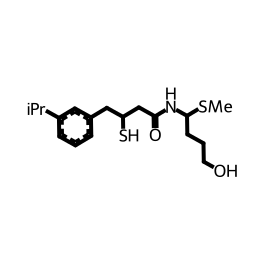 CSC(CCCO)NC(=O)CC(S)Cc1cccc(C(C)C)c1